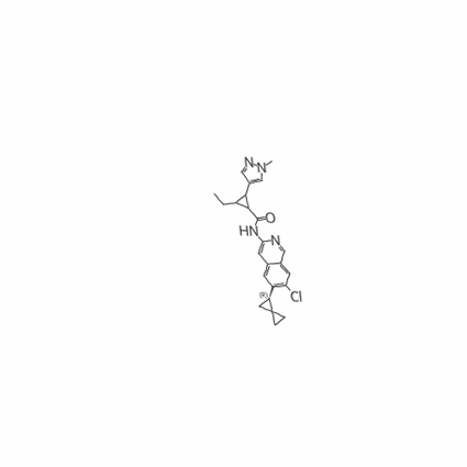 CCC1C(C(=O)Nc2cc3cc([C@@H]4CC45CC5)c(Cl)cc3cn2)C1c1cnn(C)c1